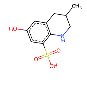 CC1CNc2c(cc(O)cc2S(=O)(=O)O)C1